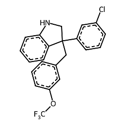 FC(F)(F)Oc1cccc(CC2(c3cccc(Cl)c3)CNc3ccccc32)c1